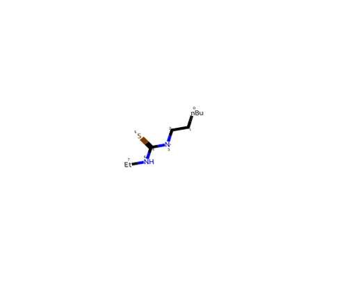 CCCCCC[N]C(=S)NCC